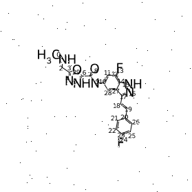 CNCc1nnc(C(=O)Nc2cc(F)c3[nH]nc(/C=C/c4ccc(F)cc4)c3c2)o1